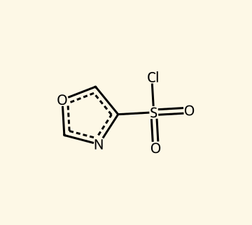 O=S(=O)(Cl)c1cocn1